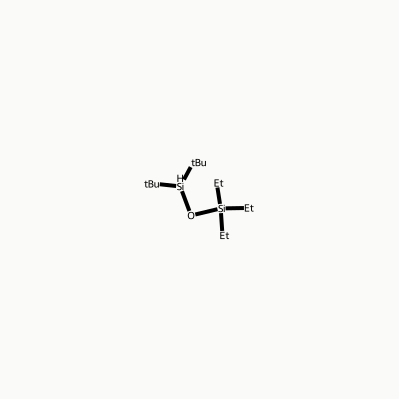 CC[Si](CC)(CC)O[SiH](C(C)(C)C)C(C)(C)C